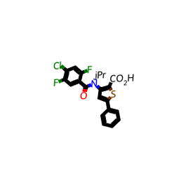 CC(C)N(C(=O)c1cc(F)c(Cl)cc1F)c1cc(-c2ccccc2)sc1C(=O)O